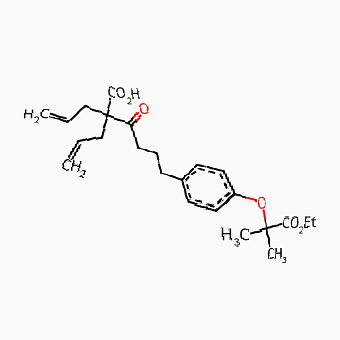 C=CCC(CC=C)(C(=O)O)C(=O)CCCc1ccc(OC(C)(C)C(=O)OCC)cc1